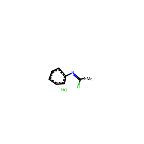 CNC(Cl)=Nc1ccccc1.Cl